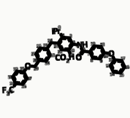 CC(C)c1cc(NC(=O)c2ccc(Oc3ccccc3)cc2)c(C(=O)O)cc1Cc1ccc(COc2ccc(C(F)(F)F)cc2)cc1